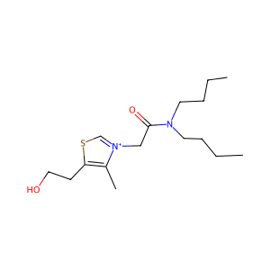 CCCCN(CCCC)C(=O)C[n+]1csc(CCO)c1C